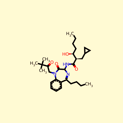 CCCCC1=NC(NC(=O)[C@H](CC2CC2)[C@@H](O)CCCC)C(=O)N(CC(=O)C(C)(C)C)c2ccccc21